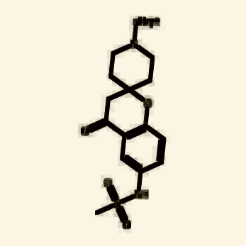 CCCCCCCN1CCC2(CC1)CC(=O)c1cc(NS(C)(=O)=O)ccc1O2